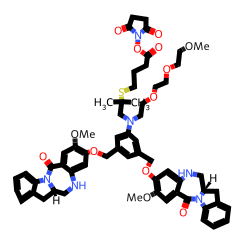 COCCOCCOCCN(CC(C)(C)SCCCC(=O)ON1C(=O)CCC1=O)c1cc(COc2cc3c(cc2OC)C(=O)N2c4ccccc4C[C@H]2CN3)cc(COc2cc3c(cc2OC)C(=O)N2c4ccccc4C[C@H]2CN3)c1